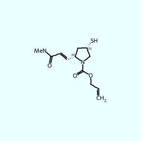 C=CCOC(=O)N1C[C@@H](S)C[C@H]1C=CC(=O)NC